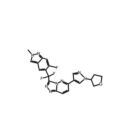 Cn1cc2cc(C(F)(F)c3nnc4ccc(-c5cnn(C6CCOC6)c5)nn34)c(F)cc2n1